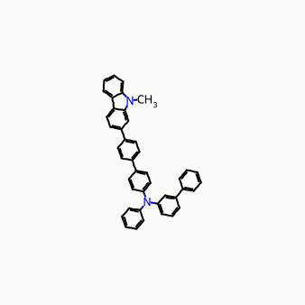 Cn1c2ccccc2c2ccc(-c3ccc(-c4ccc(N(c5ccccc5)c5cccc(-c6ccccc6)c5)cc4)cc3)cc21